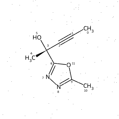 CC#C[C@@](C)(O)c1nnc(C)o1